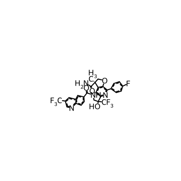 C[C@]1(C(N)=O)COc2c1cc(C(O)(CNC(=O)c1ccc3ncc(C(F)(F)F)cc3c1)C(F)(F)F)nc2-c1ccc(F)cc1